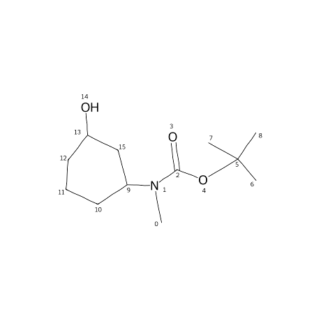 CN(C(=O)OC(C)(C)C)C1CCCC(O)C1